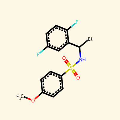 CCC(NS(=O)(=O)c1ccc(OC(F)(F)F)cc1)c1cc(F)ccc1F